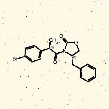 C[C@@H](C(=O)N1C(=O)OC[C@H]1Cc1ccccc1)c1ccc(Br)cc1